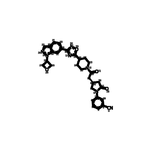 N#Cc1cccc(N2C[C@@H](CC(=O)N3CCC(c4nc(-c5ccc6cnn(C7COC7)c6c5)no4)CC3)CC2=O)c1